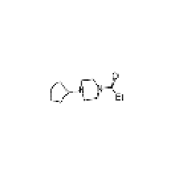 CCC(=O)N1CCN(C2CCCC2)CC1